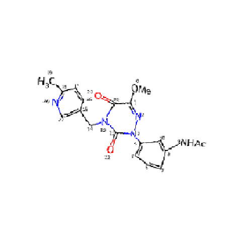 COc1nn(-c2cccc(NC(C)=O)c2)c(=O)n(Cc2ccc(C)nc2)c1=O